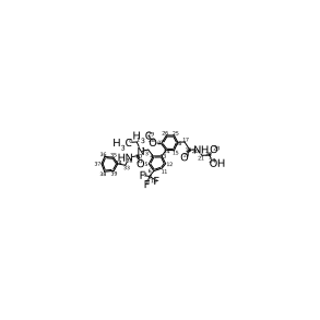 CCN(Cc1cc(C(F)(F)F)ccc1-c1cc(CC(=O)NCC(=O)O)ccc1OC)C(=O)NCc1ccccc1